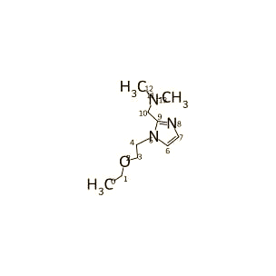 CCOCCn1ccnc1CN(C)C